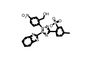 Cc1ccc(-c2nn(-c3nc4ccccc4s3)[n+](-c3ccc([N+](=O)[O-])cc3CO)n2)c(S(=O)(=O)[O-])c1